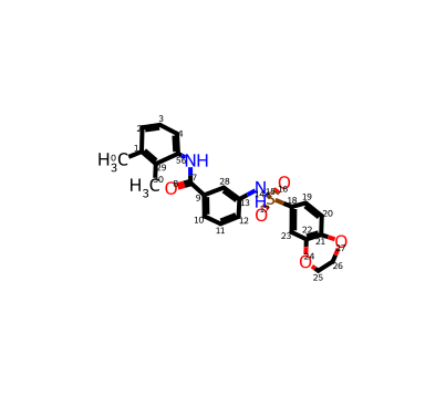 Cc1cccc(NC(=O)c2cccc(NS(=O)(=O)c3ccc4c(c3)OCCO4)c2)c1C